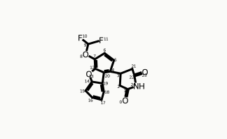 O=C1CC(c2ccc(OC(F)F)c3oc4ccccc4c23)CC(=O)N1